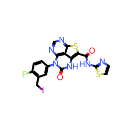 O=C(Nc1nccs1)c1sc2ncnc3c2c1NC(=O)N3c1ccc(F)c(CI)c1